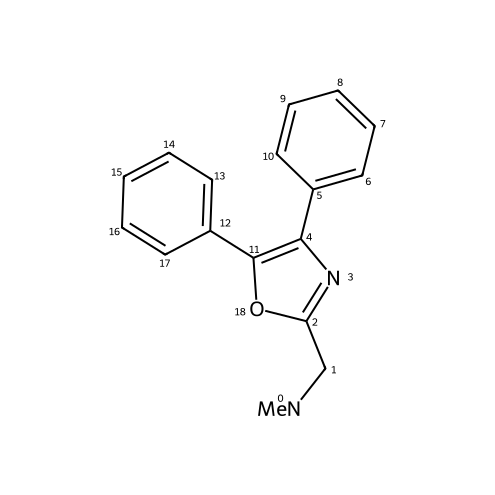 CNCc1nc(-c2ccccc2)c(-c2ccccc2)o1